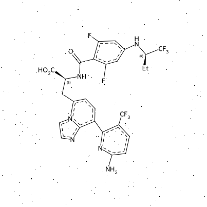 CC[C@@H](Nc1cc(F)c(C(=O)N[C@@H](Cc2ccc(-c3nc(N)ccc3C(F)(F)F)c3nccn23)C(=O)O)c(F)c1)C(F)(F)F